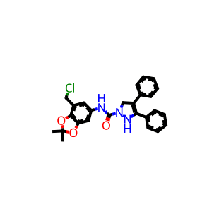 CC1(C)Oc2cc(NC(=O)N3CC(c4ccccc4)=C(c4ccccc4)N3)cc(CCl)c2O1